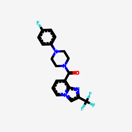 O=C(c1cccn2cc(C(F)(F)F)nc12)N1CCN(c2ccc(F)cc2)CC1